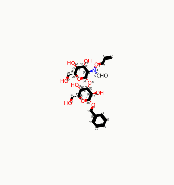 C=CCON(C=O)[C@H]1[C@H](O[C@H]2[C@@H](O)[C@@H](CO)O[C@@H](OCc3ccccc3)[C@@H]2O)O[C@H](CO)[C@@H](O)[C@@H]1O